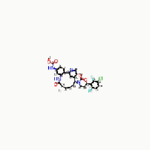 COC(=O)Nc1ccc2c(c1)NC(=O)[C@@H](C)CCCC(N1CCC(c3c(F)ccc(Cl)c3F)OC1=O)c1ccnc-2c1